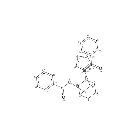 O=C(OC1C2CCC(C(c3ccc[nH]3)C2)C1OC(=O)c1ccccc1)c1ccccc1